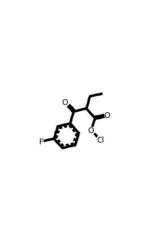 CCC(C(=O)OCl)C(=O)c1cccc(F)c1